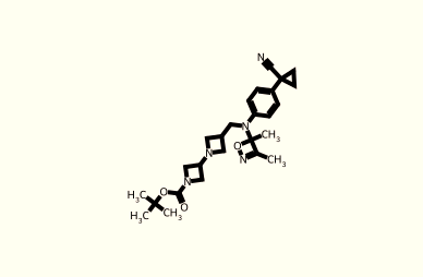 CC1=NOC1(C)N(CC1CN(C2CN(C(=O)OC(C)(C)C)C2)C1)c1ccc(C2(C#N)CC2)cc1